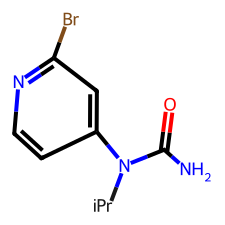 CC(C)N(C(N)=O)c1ccnc(Br)c1